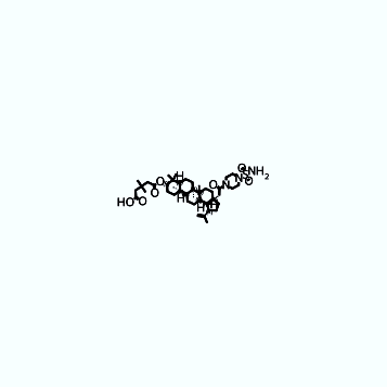 C=C(C)[C@@H]1CC[C@]2(CC(=O)N3CCN(S(N)(=O)=O)CC3)CC[C@]3(C)[C@H](CC[C@@H]4[C@@]5(C)CC[C@H](OC(=O)CC(C)(C)CC(=O)O)C(C)(C)[C@@H]5CC[C@]43C)[C@@H]12